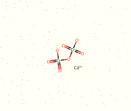 [Cd+2].[O]=[Cr](=[O])([O-])[O][Cr](=[O])(=[O])[O-]